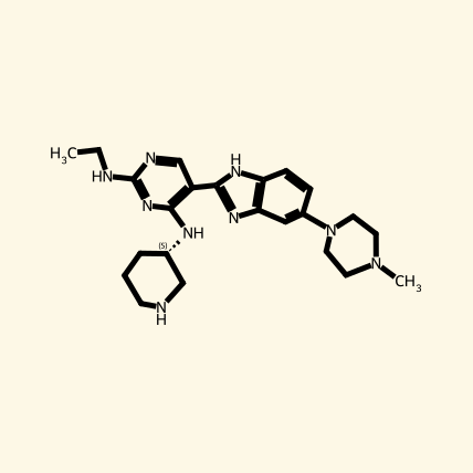 CCNc1ncc(-c2nc3cc(N4CCN(C)CC4)ccc3[nH]2)c(N[C@H]2CCCNC2)n1